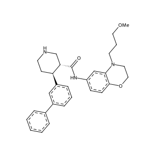 COCCCN1CCOc2ccc(NC(=O)[C@H]3CNCC[C@@H]3c3cccc(-c4ccccc4)c3)cc21